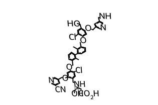 Cc1c(COc2cc(OCc3cncc(C=N)c3)c(CO)cc2Cl)cccc1-c1cccc(COc2cc(OCc3cncc(C#N)c3)c(CN[C@H](CO)CC(=O)O)cc2Cl)c1C